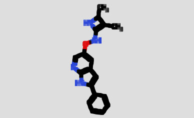 CC1=C(NOc2cnc3[nH]c(-c4ccccc4)cc3c2)NC1C